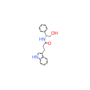 O=C(CCc1c[nH]c2ccccc12)NC(CO)c1ccccc1